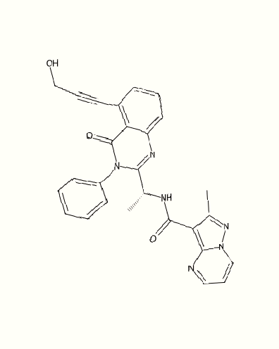 Cc1nn2cccnc2c1C(=O)N[C@H](C)c1nc2cccc(C#CCO)c2c(=O)n1-c1ccccc1